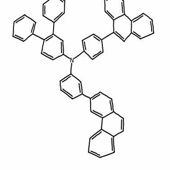 c1ccc(-c2ccc(N(c3ccc(-c4cc5ccccc5c5ccccc45)cc3)c3cccc(-c4ccc5ccc6ccccc6c5c4)c3)cc2-c2ccccc2)cc1